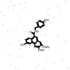 COc1cc2cc(C(=O)NCc3ccc(O)cc3)c3ccc(O)cc3c2cc1OC